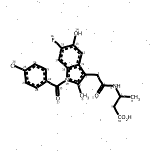 Cc1c(CC(=O)NC(C)CC(=O)O)c2cc(O)c(F)cc2n1C(=O)c1ccc(Cl)cc1